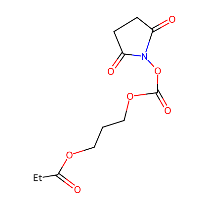 CCC(=O)OCCCOC(=O)ON1C(=O)CCC1=O